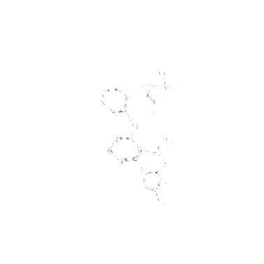 [2H]C([2H])([2H])NC(=O)c1cnccc1Nc1ccnc2c1N(C)Cc1nc(C)nn1-2